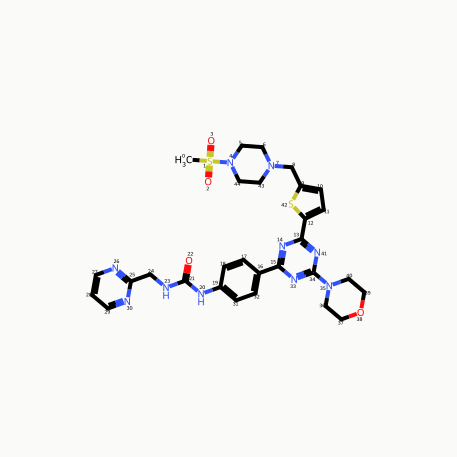 CS(=O)(=O)N1CCN(Cc2ccc(-c3nc(-c4ccc(NC(=O)NCc5ncccn5)cc4)nc(N4CCOCC4)n3)s2)CC1